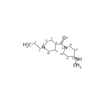 CCCN1CCC(C(=O)N2CCC(NC)CC2)CC1